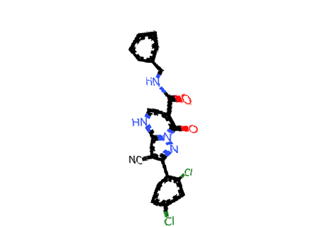 N#Cc1c(-c2ccc(Cl)cc2Cl)nn2c(=O)c(C(=O)NCc3ccccc3)c[nH]c12